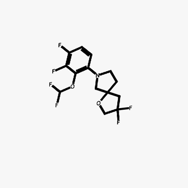 Fc1ccc(N2CCC3(C2)CC(F)(F)CO3)c(OC(F)F)c1F